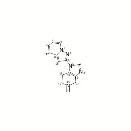 c1ccn2nc(-n3cnc4c3CCNC4)cc2c1